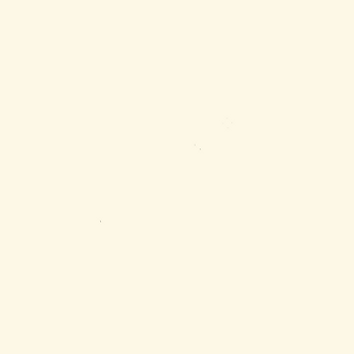 COC.[O-][S+](c1ccccc1)c1ccccc1